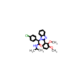 COc1cccc(-c2nc3ccccc3n2C(C(=O)NC(C)C)c2ccc(Cl)cc2)c1OC